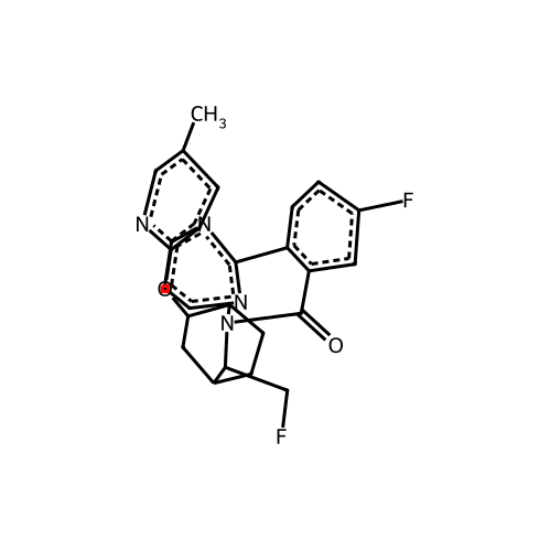 Cc1ccc(OC2CC3CCC2N(C(=O)c2cc(F)ccc2-c2ncccn2)C3CF)nc1